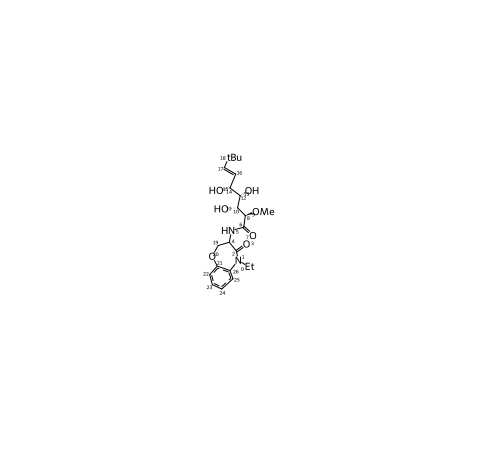 CCN1C(=O)C(NC(=O)[C@H](OC)[C@H](O)[C@@H](O)[C@H](O)/C=C/C(C)(C)C)COc2ccccc21